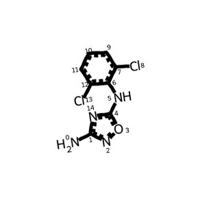 Nc1noc(Nc2c(Cl)cccc2Cl)n1